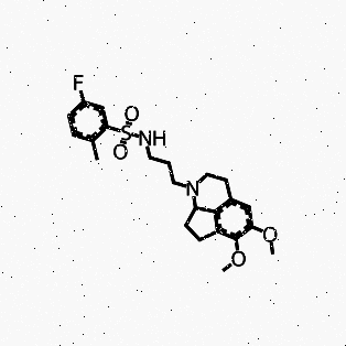 COc1cc2c3c(c1OC)CCC3N(CCCNS(=O)(=O)c1cc(F)ccc1C)CC2